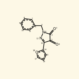 O=C1C(=O)N(Cc2ccccc2)N=C1c1ccco1